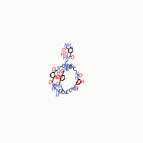 NC(=O)c1cccc(C(=O)NCCN2CCNC(=O)c3cccc(c3O)C(=O)NCCNCCN3CCNC(=O)c4cccc(c4O)C(=O)NCCN(CCNC(=O)c4cccc(c4O)C(=O)NCC3)CC2)c1O